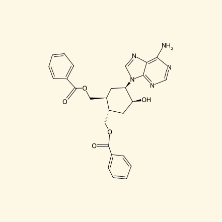 Nc1ncnc2c1ncn2[C@@H]1C[C@H](COC(=O)c2ccccc2)[C@@H](COC(=O)c2ccccc2)C[C@@H]1O